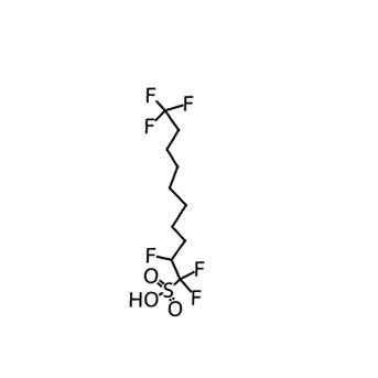 O=S(=O)(O)C(F)(F)C(F)CCCCCCCC(F)(F)F